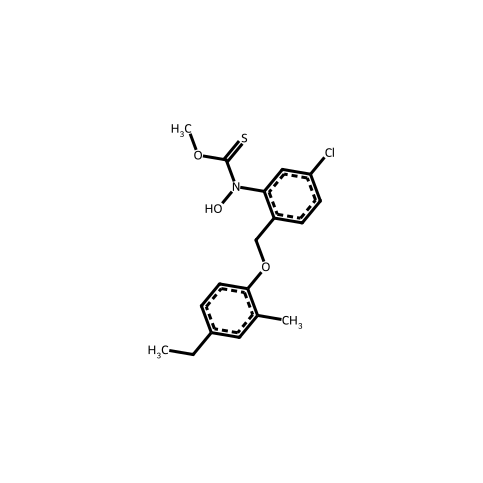 CCc1ccc(OCc2ccc(Cl)cc2N(O)C(=S)OC)c(C)c1